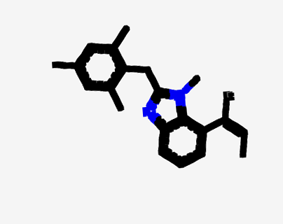 C/C=C(/CC)c1cccc2nc(Cc3c(C)cc(C)cc3C)n(C)c12